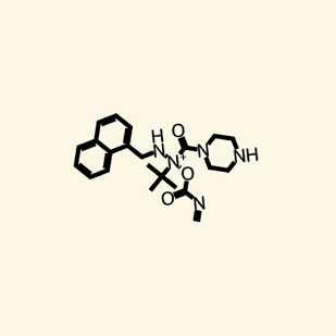 C=NC(=O)O[N+](NCc1cccc2ccccc12)(C(=O)N1CCNCC1)C(C)(C)C